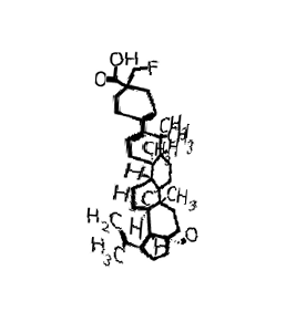 C=C(C)[C@@H]1CC[C@]2(C=O)CC[C@]3(C)[C@H](CC[C@@H]4[C@@]5(C)CC=C(C6=CCC(CF)(C(=O)O)CC6)C(C)(C)[C@@H]5CC[C@]43C)[C@@H]12